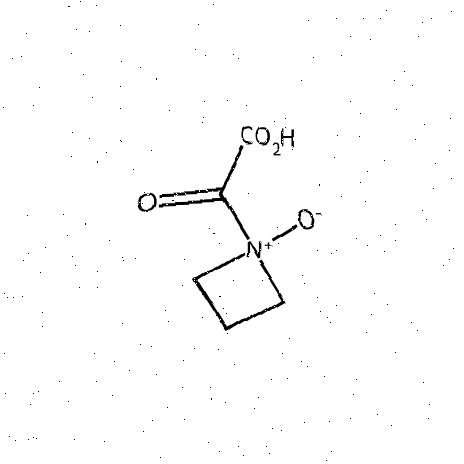 O=C(O)C(=O)[N+]1([O-])CCC1